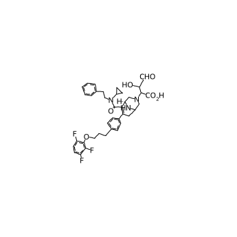 O=CCC(O)C(C(=O)O)N1CC2CC(c3ccc(CCCOc4c(F)ccc(F)c4F)cc3)=C(C(=O)N(CCc3ccccc3)C3CC3)[C@@H](C1)N2